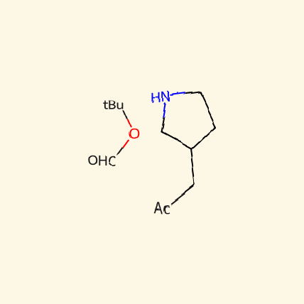 CC(=O)CC1CCNC1.CC(C)(C)OC=O